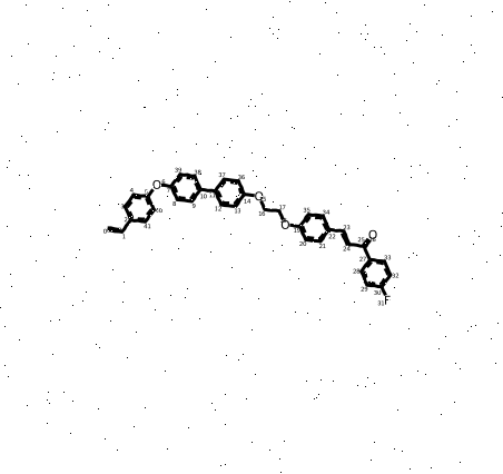 C=Cc1ccc(Oc2ccc(-c3ccc(OCCOc4ccc(/C=C/C(=O)c5ccc(F)cc5)cc4)cc3)cc2)cc1